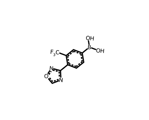 OB(O)c1ccc(-c2ncon2)c(C(F)(F)F)c1